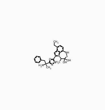 CCc1ccc2c3c1cc(-c1nnc([C@](C)(N)Cc4ccccc4)o1)n3C(C)C(O)(O)SN2